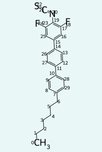 CCCCCCCc1ccc(-c2ccc(-c3cc(F)c(N=C=S)c(F)c3)cc2)cc1